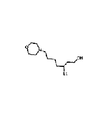 CC[C@H](CCO)CCCCN1CCOCC1